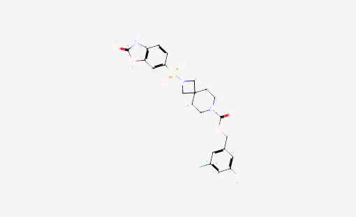 O=C(OCc1cc(Cl)cc(Cl)c1)N1CCC2(CC1)CN(S(=O)(=O)c1ccc3[nH]c(=O)oc3c1)C2